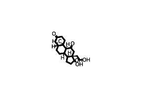 C[C@]12CCC(=O)C[C@H]1CC[C@@H]1[C@@H]2C(=O)C[C@@]2(CCO)[C@H]1CCC2(O)O